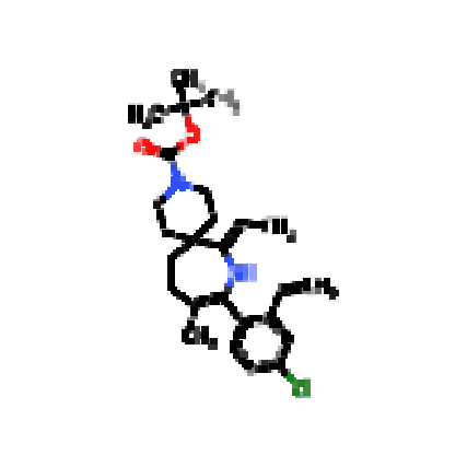 C=Cc1cc(Cl)ccc1C1=C(C)CCC2(CCN(C(=O)OC(C)(C)C)CC2)C(=CC)N1